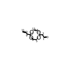 C=CCC1OCCOC(CC=C)OCCO1